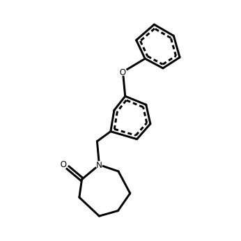 O=C1CCCCCN1Cc1cccc(Oc2ccccc2)c1